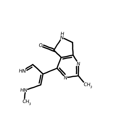 CN/C=C(\C=N)c1nc(C)nc2c1C(=O)NC2